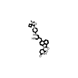 CN(C)C1(C(=O)N2CCC(N/C=C(\C=N)Cc3ccc4c5c(cccc35)C(=O)N4C3CCC(=O)NC3=O)CC2)CCC1